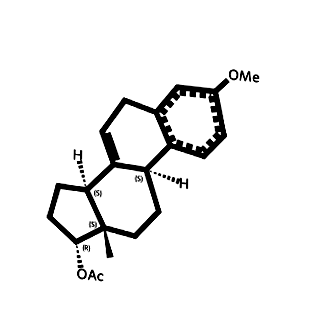 COc1ccc2c(c1)CC=C1[C@@H]2CC[C@]2(C)[C@H](OC(C)=O)CC[C@@H]12